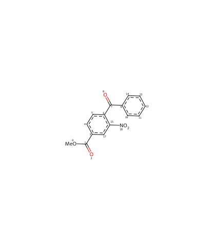 COC(=O)c1ccc(C(=O)c2ccccc2)c([N+](=O)[O-])c1